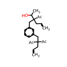 C=CCC(Cc1cccc(CC(CC=C)(C(C)=O)C(C)O)c1)(C(C)=O)C(C)=O